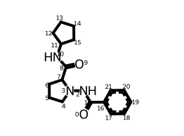 O=C(NN1CCCC1C(=O)NC1CCCC1)c1ccccc1